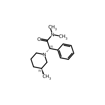 C[C@H]1CCCN([C@H](C(=O)N(C)C)c2ccccc2)C1